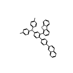 Cc1ccc(N(c2ccc(C)cc2)c2ccc(-c3ccc(-c4ccc5ccccc5c4)cc3)c(-c3cccc4c3sc3ccccc34)c2)cc1